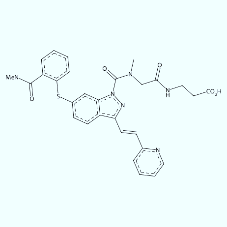 CNC(=O)c1ccccc1Sc1ccc2c(/C=C/c3ccccn3)nn(C(=O)N(C)CC(=O)NCCC(=O)O)c2c1